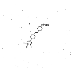 CCCCCC1CCC(/C=C/C2CCC(c3cc(F)c(F)c(F)c3)CC2)CC1